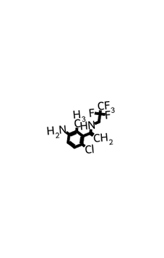 C=C(NCC(F)(F)C(F)(F)F)c1c(Cl)ccc(N)c1C